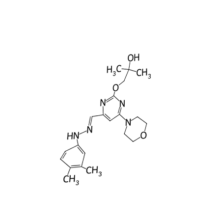 Cc1ccc(NN=Cc2cc(N3CCOCC3)nc(OCC(C)(C)O)n2)cc1C